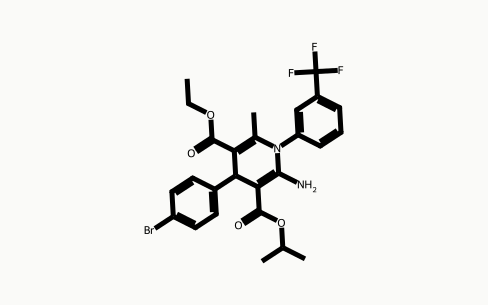 CCOC(=O)C1=C(C)N(c2cccc(C(F)(F)F)c2)C(N)=C(C(=O)OC(C)C)C1c1ccc(Br)cc1